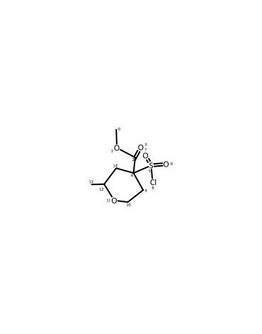 COC(=O)C1(S(=O)(=O)Cl)CCOC(C)C1